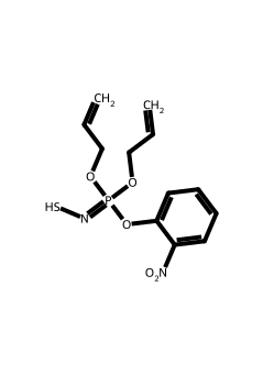 C=CCOP(=NS)(OCC=C)Oc1ccccc1[N+](=O)[O-]